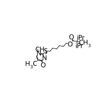 Cc1cn(C)c(SCCCCCCOC(=O)C(C)(C(C)C)C(C)C)nc1=O